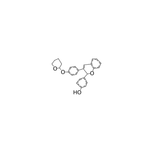 Oc1ccc(C2Oc3ccccc3C=C2c2ccc(OC3CCCCO3)cc2)cc1